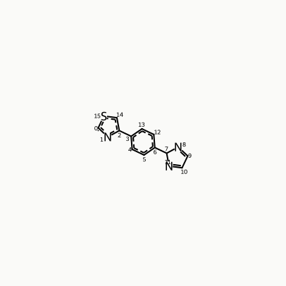 [c]1nc(-c2ccc(C3N=CC=N3)cc2)cs1